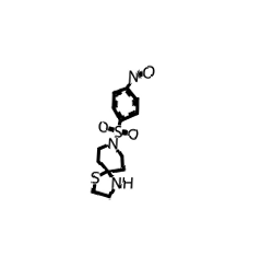 O=Nc1ccc(S(=O)(=O)N2CCC3(CC2)NCCS3)cc1